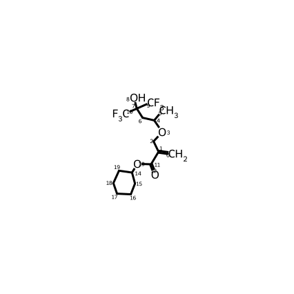 C=C(COC(C)CC(O)(C(F)(F)F)C(F)(F)F)C(=O)OC1CCCCC1